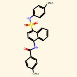 COc1ccc(NS(=O)(=O)c2ccc(NC(=O)c3ccc(OC)cc3)c3ccccc23)cc1